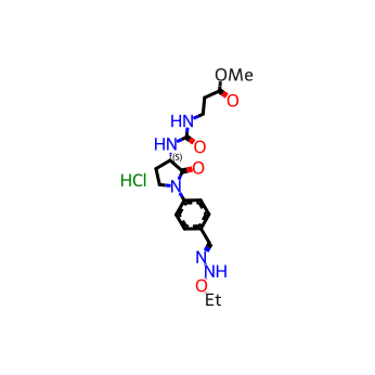 CCONN=Cc1ccc(N2CC[C@H](NC(=O)NCCC(=O)OC)C2=O)cc1.Cl